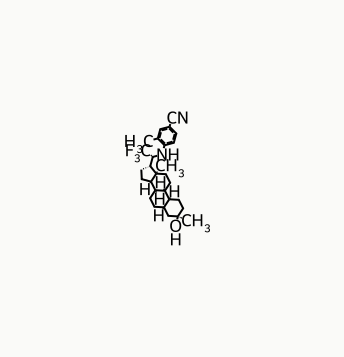 Cc1cc(C#N)ccc1N[C@H]([C@H]1CC[C@H]2[C@@H]3CC[C@@H]4C[C@](C)(O)CC[C@@H]4[C@H]3CC[C@]12C)C(F)(F)F